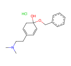 CN(C)CCC1=CCC(O)(OCc2ccccc2)C=C1.Cl